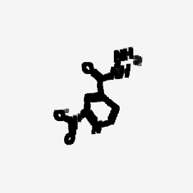 NNC(=O)c1ccnc([N+](=O)[O-])c1